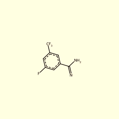 [N]=C(N)c1cc(F)cc(C(F)(F)F)c1